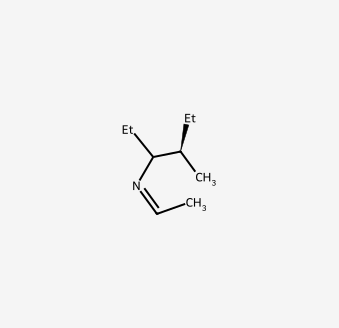 C/C=N\C(CC)[C@H](C)CC